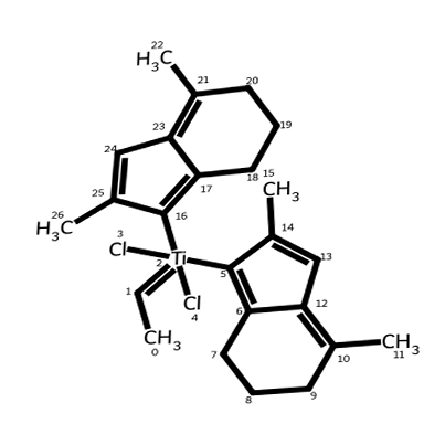 C[CH]=[Ti]([Cl])([Cl])([C]1=C2CCCC(C)=C2C=C1C)[C]1=C2CCCC(C)=C2C=C1C